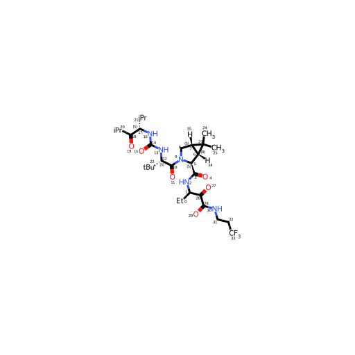 CCC(NC(=O)[C@@H]1[C@@H]2[C@H](CN1C(=O)[C@@H](NC(=O)N[C@H](C(=O)C(C)C)C(C)C)C(C)(C)C)C2(C)C)C(=O)C(=O)NCCC(F)(F)F